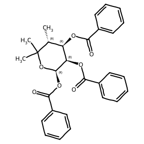 C[C@@H]1[C@@H](OC(=O)c2ccccc2)[C@@H](OC(=O)c2ccccc2)[C@@H](OC(=O)c2ccccc2)OC1(C)C